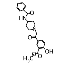 COC(=O)c1cc(C(=O)CN2CCC(NC(=O)c3ccccc3)CC2)ccc1O